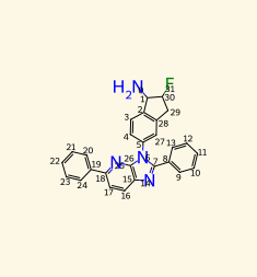 NC1c2ccc(-n3c(-c4ccccc4)nc4ccc(-c5ccccc5)nc43)cc2CC1F